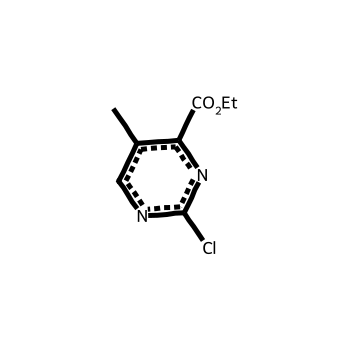 CCOC(=O)c1nc(Cl)ncc1C